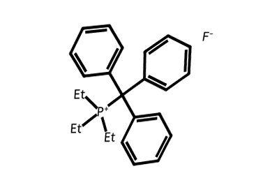 CC[P+](CC)(CC)C(c1ccccc1)(c1ccccc1)c1ccccc1.[F-]